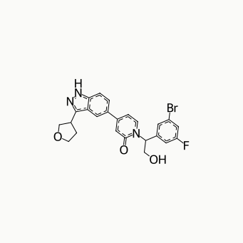 O=c1cc(-c2ccc3[nH]nc(C4CCOC4)c3c2)ccn1C(CO)c1cc(F)cc(Br)c1